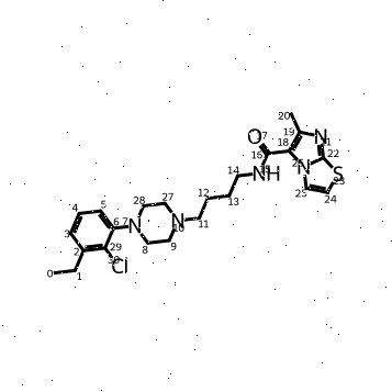 CCc1cccc(N2CCN(CCCCNC(=O)c3c(C)nc4sccn34)CC2)c1Cl